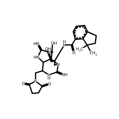 CC1(C)CCc2cccc(C(=O)NC3CN4C(=N)NC(CN5C(=O)CCC5=O)C5NC(=N)NC54C3(O)O)c21